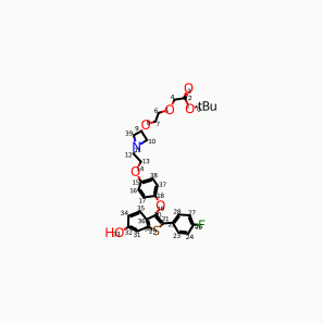 CC(C)(C)OC(=O)COCCOC1CN(CCOc2ccc(Oc3c(-c4ccc(F)cc4)sc4cc(O)ccc34)cc2)C1